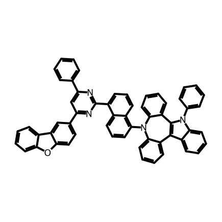 c1ccc(-c2cc(-c3ccc4oc5ccccc5c4c3)nc(-c3cccc4c(N5c6ccccc6-c6c(n(-c7ccccc7)c7ccccc67)-c6ccccc65)cccc34)n2)cc1